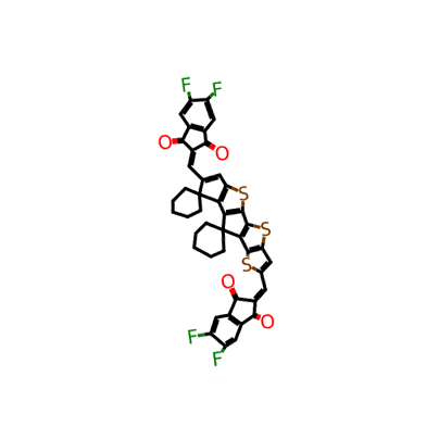 O=C1C(=CC2=Cc3sc4c(c3C23CCCCC3)C2(CCCCC2)c2c-4sc3cc(C=C4C(=O)c5cc(F)c(F)cc5C4=O)sc23)C(=O)c2cc(F)c(F)cc21